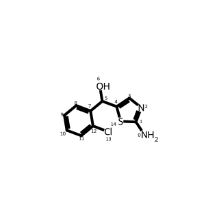 Nc1ncc(C(O)c2ccccc2Cl)s1